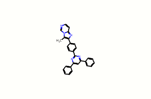 Cc1c(-c2ccc(-c3nc(-c4ccccc4)cc(-c4ccccc4)n3)cc2)nc2ccncn12